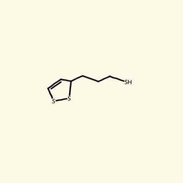 SCCCC1C=CSS1